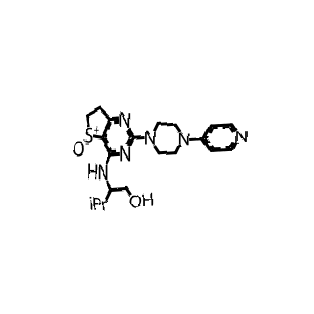 CC(C)C(CO)Nc1nc(N2CCN(c3ccncc3)CC2)nc2c1[S+]([O-])CC2